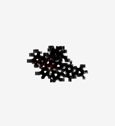 CC1C(O)[C@H](O[C@@H]2OC(CO[C@]3(C(=O)O)CC(O)[C@@H](N)C(C(O)[C@H](O)CO)O3)[C@H](O)C(O)[C@@H]2O)[C@H](CO)O[C@H]1O[C@@H]1C(O)[C@H](O)C(CO)O[C@@H]1OCC1O[C@@H](O[C@@H]2C(CO)O[C@@H](O[C@@H]3C(CO)O[C@@H](C)[C@@H](C)C3O)[C@@H](C)C2O)[C@H](O)C(O[C@H]2O[C@H](CO)[C@@H](O)C(O)C2O[C@@H]2OC(CO)[C@@H](O[C@@H]3OC(CO)[C@H](O)C(O)[C@@H]3O)C(O)[C@@H]2C)[C@@H]1O